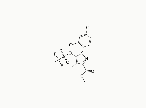 COC(=O)c1nn(-c2ccc(Cl)cc2Cl)c(OS(=O)(=O)C(F)(F)F)c1C